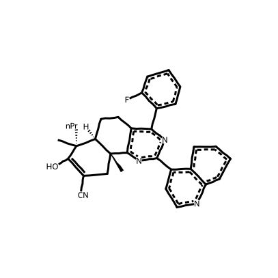 CCC[C@@]1(C)C(O)=C(C#N)C[C@@]2(C)c3nc(-c4ccnc5ccccc45)nc(-c4ccccc4F)c3CC[C@H]12